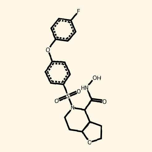 O=C(NO)C1C2CCOC2CCN1S(=O)(=O)c1ccc(Oc2ccc(F)cc2)cc1